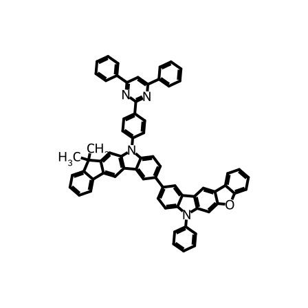 CC1(C)c2ccccc2-c2cc3c4cc(-c5ccc6c(c5)c5cc7c(cc5n6-c5ccccc5)oc5ccccc57)ccc4n(-c4ccc(-c5nc(-c6ccccc6)cc(-c6ccccc6)n5)cc4)c3cc21